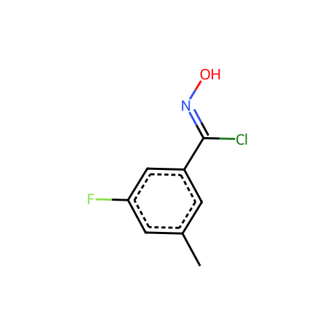 Cc1cc(F)cc(/C(Cl)=N/O)c1